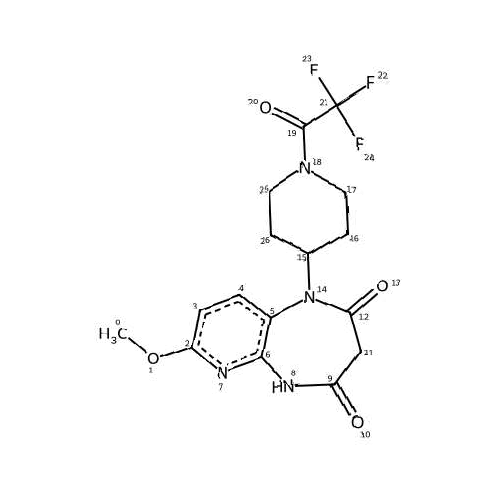 COc1ccc2c(n1)NC(=O)CC(=O)N2C1CCN(C(=O)C(F)(F)F)CC1